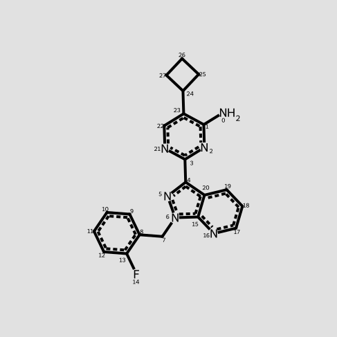 Nc1nc(-c2nn(Cc3ccccc3F)c3ncccc23)ncc1C1CCC1